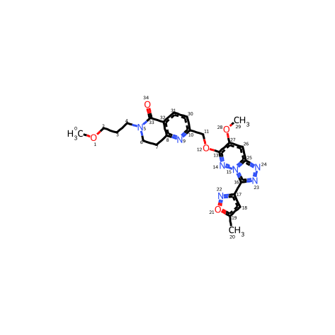 COCCCN1CCc2nc(COc3nn4c(-c5cc(C)on5)nnc4cc3OC)ccc2C1=O